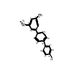 Brc1cc(Br)cc(-c2ccc(-c3ccc(I)cc3)cc2)c1